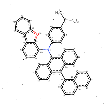 CC(C)c1ccc(N(c2c3ccccc3c(-c3cccc4ccccc34)c3ccccc23)c2cccc3c2oc2ccccc23)cc1